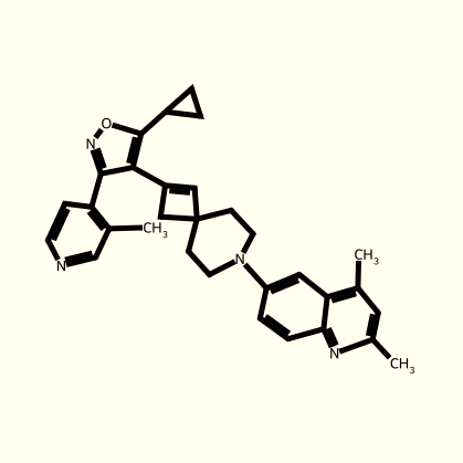 Cc1cc(C)c2cc(N3CCC4(C=C(c5c(-c6ccncc6C)noc5C5CC5)C4)CC3)ccc2n1